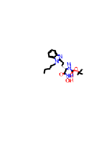 CCCCCn1c(CC[C@H](NC(=O)OC(C)(C)C)C(=O)NO)nc2ccccc21